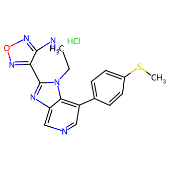 CCn1c(-c2nonc2N)nc2cncc(-c3ccc(SC)cc3)c21.Cl